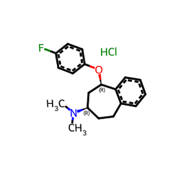 CN(C)[C@@H]1CCc2ccccc2[C@H](Oc2ccc(F)cc2)C1.Cl